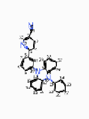 N#Cc1ccc(-c2cccc(N3c4ccccc4N(c4ccccc4)c4ccccc43)c2)nc1